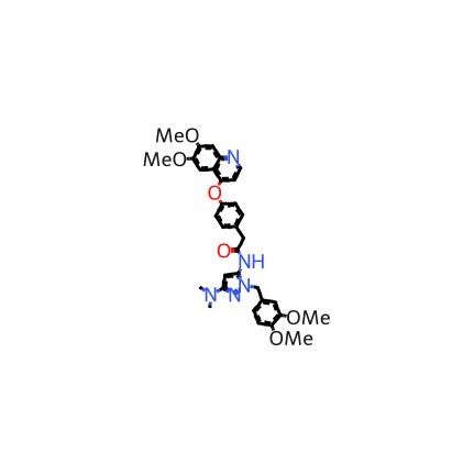 COc1ccc(Cn2nc(N(C)C)cc2NC(=O)Cc2ccc(Oc3ccnc4cc(OC)c(OC)cc34)cc2)cc1OC